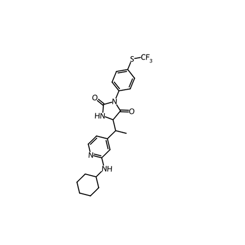 CC(c1ccnc(NC2CCCCC2)c1)C1NC(=O)N(c2ccc(SC(F)(F)F)cc2)C1=O